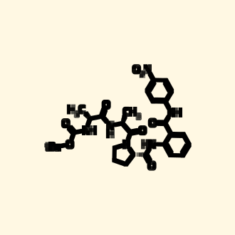 C[C@H](NC(=O)OC(C)(C)C)C(=O)N[C@@H](C)C(=O)N1CCC[C@H]1C(=O)Nc1ccccc1C(=O)Nc1ccc([N+](=O)[O-])cc1